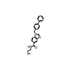 CC(C)CCNC(=O)c1ccc2c(c1)ncn2Cc1ccc(-c2ccccc2)cc1